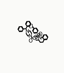 O=C(OCC1CCc2ccccc2N1S(=O)(=O)c1ccc(Cl)cc1)N1CCN(C(c2ccccc2)c2ccccc2)CC1